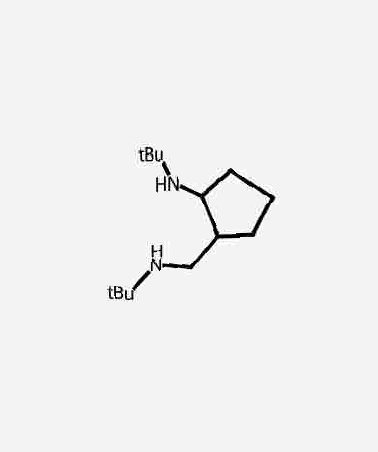 CC(C)(C)NCC1CCCC1NC(C)(C)C